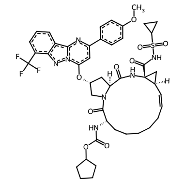 COc1ccc(-c2cc(O[C@@H]3C[C@H]4C(=O)N[C@]5(C(=O)NS(=O)(=O)C6CC6)C[C@H]5/C=C\CCCCC[C@H](NC(=O)OC5CCCC5)C(=O)N4C3)n3nc4c(C(F)(F)F)cccc4c3n2)cc1